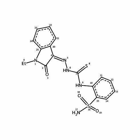 CCN1C(=O)/C(=N\NC(=S)Nc2ccccc2S(N)(=O)=O)c2ccccc21